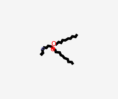 C=C/C=C\CCC(OCCCCCCCCCC)OCCCCCCCCCC